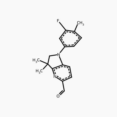 Cc1ccc(N2CC(C)(C)c3nc(C=O)ccc32)cc1F